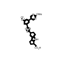 COc1ncc(-c2cc(OC(F)(F)F)cc(-c3nc(C4C=c5c6c([nH]c5=CC4)C(CC(=O)O)CC6)no3)c2)cn1